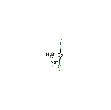 [BH4-].[Cl][Co][Cl].[Na+]